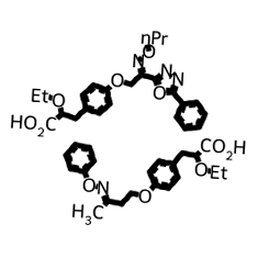 CCCON=C(COc1ccc(CC(OCC)C(=O)O)cc1)c1nnc(-c2ccccc2)o1.CCOC(Cc1ccc(OCCC(C)=NOc2ccccc2)cc1)C(=O)O